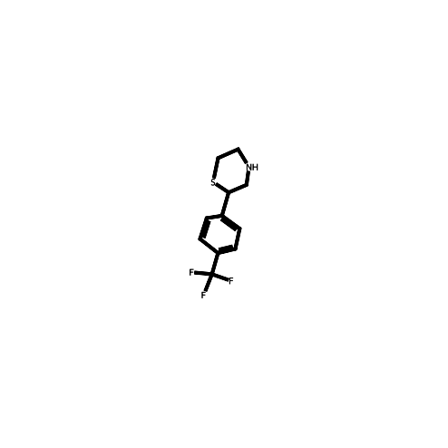 FC(F)(F)c1ccc(C2CNCCS2)cc1